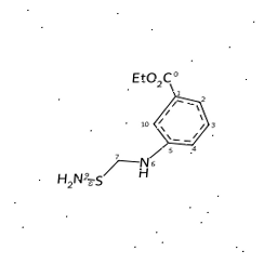 CCOC(=O)c1cccc(NCSN)c1